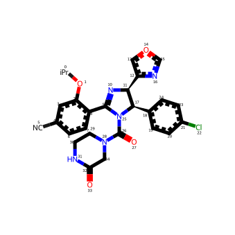 CC(C)Oc1cc(C#N)ccc1C1=N[C@@H](c2cocn2)[C@@H](c2ccc(Cl)cc2)N1C(=O)N1CCNC(=O)C1